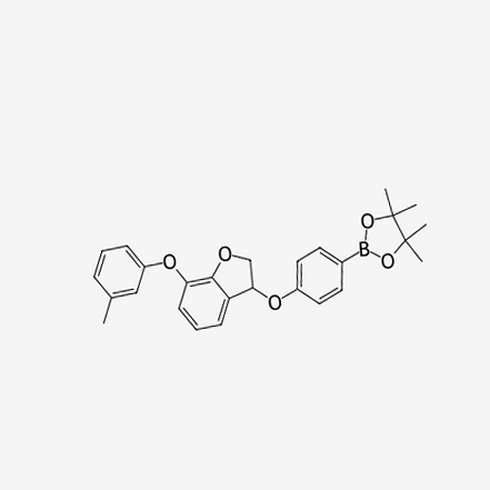 Cc1cccc(Oc2cccc3c2OCC3Oc2ccc(B3OC(C)(C)C(C)(C)O3)cc2)c1